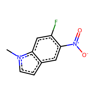 Cn1ccc2cc([N+](=O)[O-])c(F)cc21